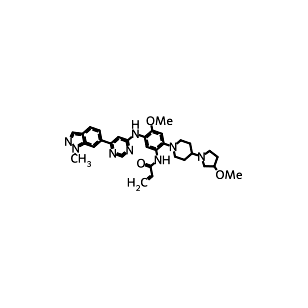 C=CC(=O)Nc1cc(Nc2cc(-c3ccc4cnn(C)c4c3)ncn2)c(OC)cc1N1CCC(N2CCC(OC)C2)CC1